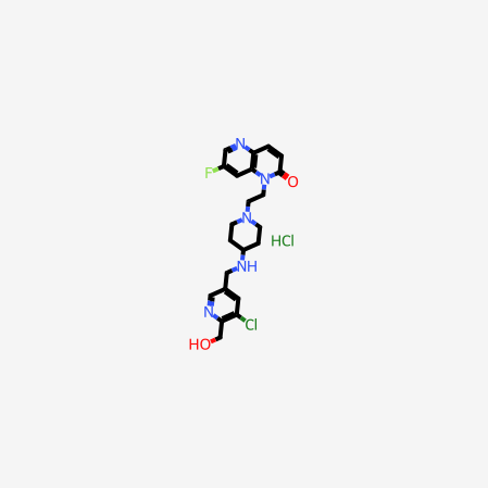 Cl.O=c1ccc2ncc(F)cc2n1CCN1CCC(NCc2cnc(CO)c(Cl)c2)CC1